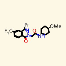 CO[C@H]1CC[C@H](NC(=O)Cn2nc(C(C)C)c3cc(C(F)(F)F)ccc3c2=O)CC1